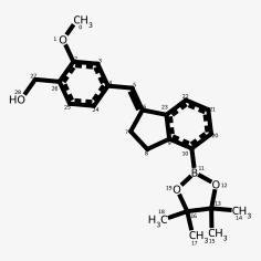 COc1cc(C=C2CCc3c(B4OC(C)(C)C(C)(C)O4)cccc32)ccc1CO